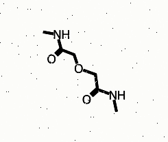 CNC(=O)COCC(=O)NC